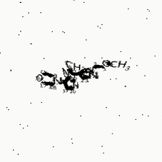 COCCn1cc(-c2c(C)nc3c(N4CCOCC4)ccnn23)cn1